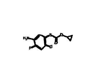 Nc1cc(SC(=O)OC2CC2)c(Cl)cc1F